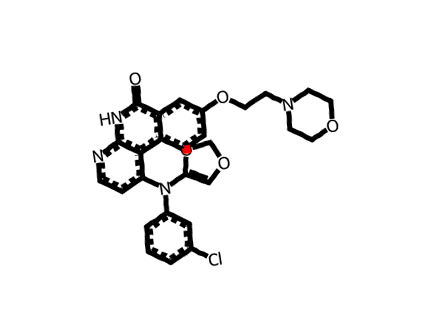 O=c1[nH]c2nccc(N(C3=COCO3)c3cccc(Cl)c3)c2c2ccc(OCCN3CCOCC3)cc12